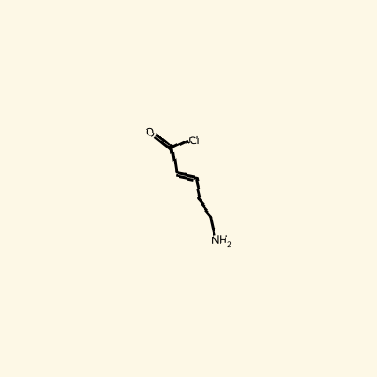 NCCC=CC(=O)Cl